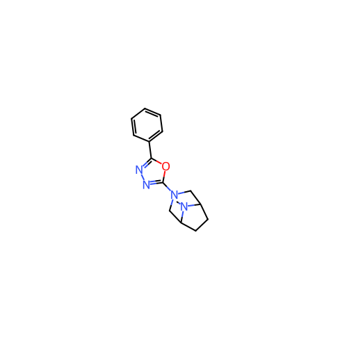 CN1C2CCC1CN(c1nnc(-c3ccccc3)o1)C2